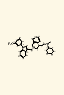 CN(CCCCN(Cc1cccnc1)Cc1cn(-c2cccc(C(F)(F)F)c2)c2ccccc12)C1CCCCC1